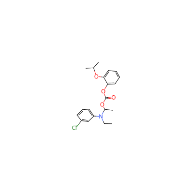 CCN(c1cccc(Cl)c1)C(C)OC(=O)Oc1ccccc1OC(C)C